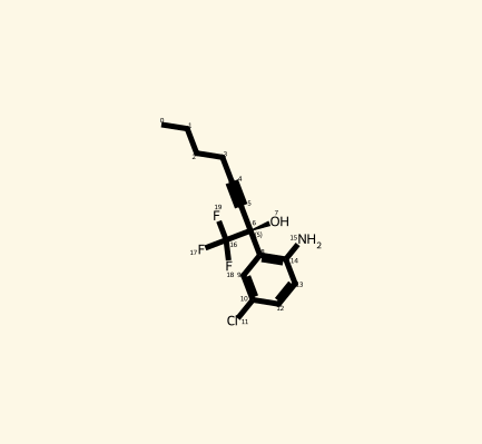 CCCCC#C[C@](O)(c1cc(Cl)ccc1N)C(F)(F)F